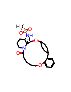 CS(=O)(=O)N[C@H]1CCCN2C(=O)CCCCOc3ccccc3C3CCC(CC3)OC[C@@H]12